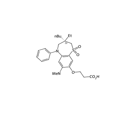 CCCC[C@@]1(CC)CN(c2ccccc2)c2cc(NC)c(OCCC(=O)O)cc2S(=O)(=O)C1